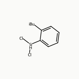 CCC(C)c1ccccc1[SiH](Cl)Cl